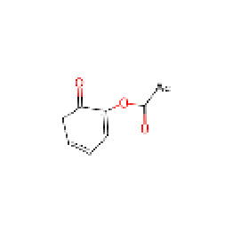 CC(=O)C(=O)OC1=CC=CCC1=O